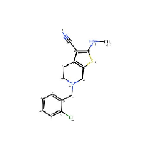 CNc1sc2c(c1C#N)CCN(Cc1ccccc1Cl)C2